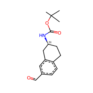 CC(C)(C)OC(=O)N[C@H]1CCc2ccc(C=O)cc2C1